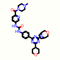 CN1CCN(C(=O)c2ccc(NC(=O)Nc3ccc(-c4nc(C5CCOCC5)nc(N5C6CCC5COC6)n4)cc3)cn2)CC1